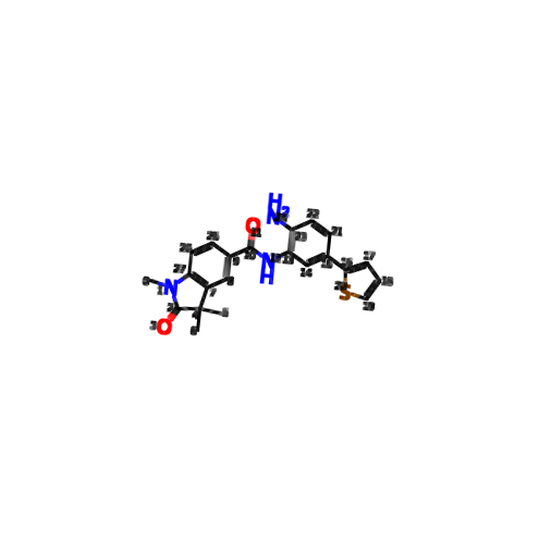 CN1C(=O)C(C)(C)c2cc(C(=O)Nc3cc(-c4cccs4)ccc3N)ccc21